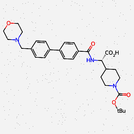 CC(C)(C)OC(=O)N1CCC([C@H](NC(=O)c2ccc(-c3ccc(CN4CCOCC4)cc3)cc2)C(=O)O)CC1